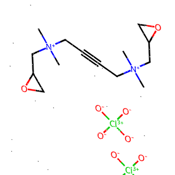 C[N+](C)(CC#CC[N+](C)(C)CC1CO1)CC1CO1.[O-][Cl+3]([O-])([O-])[O-].[O-][Cl+3]([O-])([O-])[O-]